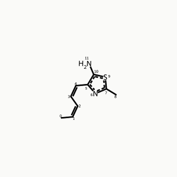 C/C=C\C=C/c1nc(C)sc1N